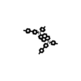 Cc1ccc(-c2ccc(N(c3ccc(C)cc3)c3ccc4ccc5c(N(c6ccc(C)cc6)c6ccc(-c7ccc(C)cc7)cc6)ccc6ccc3c4c65)cc2)cc1